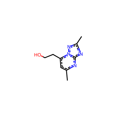 Cc1cc(CCO)n2nc(C)nc2n1